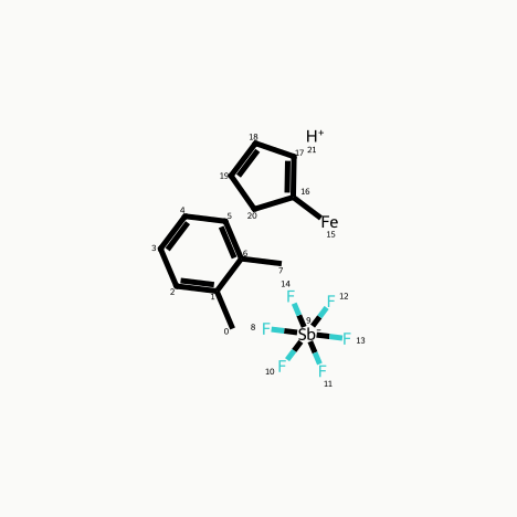 Cc1ccccc1C.[F][Sb-]([F])([F])([F])([F])[F].[Fe][C]1=CC=CC1.[H+]